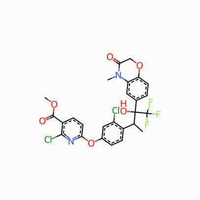 COC(=O)c1ccc(Oc2ccc(C(C)C(O)(c3ccc4c(c3)N(C)C(=O)CO4)C(F)(F)F)c(Cl)c2)nc1Cl